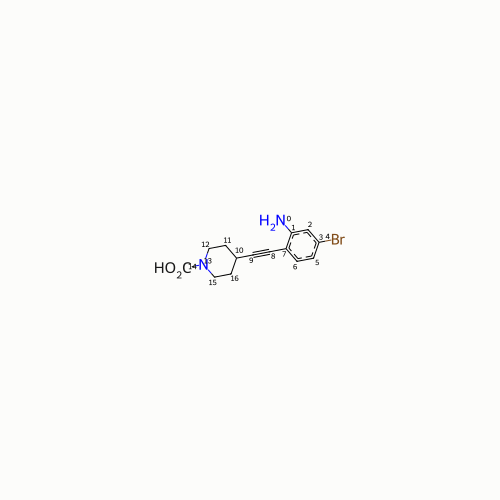 Nc1cc(Br)ccc1C#CC1CCN(C(=O)O)CC1